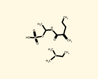 C=C(CCC)C(=O)NC(C)OS(=O)(=O)O.CCN(C)C